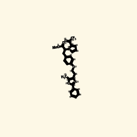 COC(=O)C(Cc1ccc(OCCc2nc(-c3ccccc3)oc2C)cc1)n1cccc1C(=O)C(F)(F)F